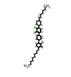 CCCCCCCCCCc1ccc(-c2ccc(-c3ccc(C4CCC(CCCCCCC)CC4)c(F)c3F)cc2)c(F)c1F